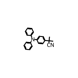 CC(C)(C#N)c1ccc(N(c2ccccc2)c2ccccc2)cc1